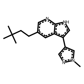 Cn1cc(-c2c[nH]c3ncc(CCC(C)(C)C)cc23)cn1